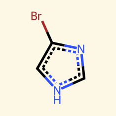 Brc1c[nH]cn1